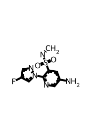 C=NS(=O)(=O)c1cc(N)cnc1-n1cc(F)cn1